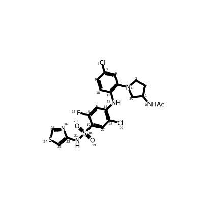 CC(=O)NC1CCN(c2cc(Cl)ccc2Nc2cc(F)c(S(=O)(=O)Nc3cscn3)cc2Cl)C1